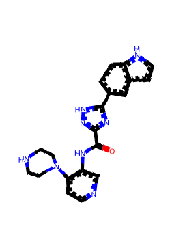 O=C(Nc1cnccc1N1CCNCC1)c1n[nH]c(-c2ccc3[nH]ccc3c2)n1